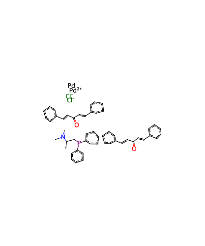 CC(CP(c1ccccc1)c1ccccc1)N(C)C.O=C(C=Cc1ccccc1)C=Cc1ccccc1.O=C(C=Cc1ccccc1)C=Cc1ccccc1.[Cl-].[Cl-].[Pd+2].[Pd]